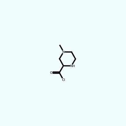 CN1CCNC(C(=O)Cl)C1